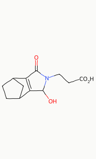 O=C(O)CCN1C(=O)C2=C(C3CCC2C3)C1O